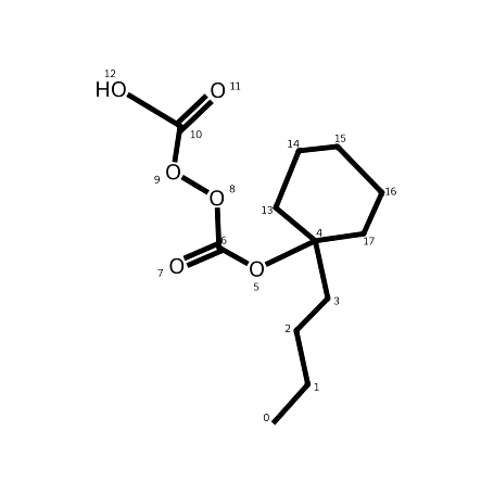 CCCCC1(OC(=O)OOC(=O)O)CCCCC1